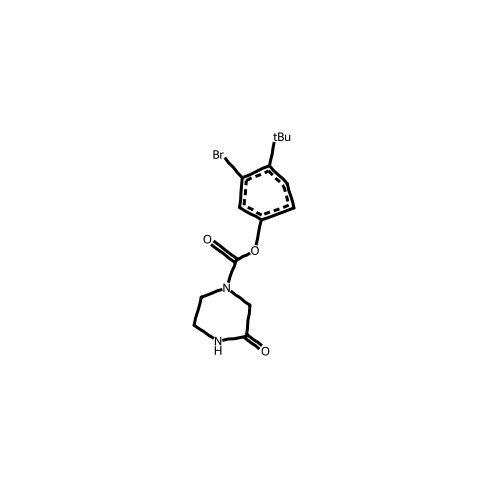 CC(C)(C)c1ccc(OC(=O)N2CCNC(=O)C2)cc1Br